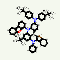 CC(C)(C)c1ccc(N(c2ccc(C(C)(C)C)cc2)c2ccc3c(c2)N(c2cccc4c2oc2ccccc24)c2cc(C(C)(C)C)cc4c2B3c2sc3c(c2N4c2ccccc2)CCCC3)cc1